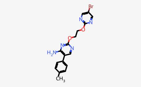 Cc1ccc(-c2cnc(OCCOc3ncc(Br)cn3)nc2N)cc1